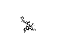 O=C1N=C(NCCN2CCOCC2)SC1=C(Cc1ccc(C(F)(F)F)cc1C(F)(F)F)c1ccc2[nH]ncc2c1